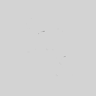 CCC[C@H]1N(C(=O)c2ncccc2C(F)(F)F)CCC[C@@]1(Oc1csc(C(F)(F)F)c1)C(=O)N1CCC(O)(c2ccccc2O[C@H](C)CCC2(C(=O)O)CCC2)CC1